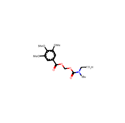 COc1cc(C(=O)OCOC(=O)N(CC(=O)O)C(C)(C)C)cc(OC)c1OC